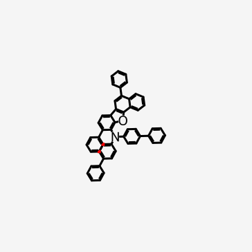 c1ccc(-c2ccc(N(c3ccc(-c4ccccc4)cc3)c3c(-c4ccccc4)ccc4c3oc3c5ccccc5c(-c5ccccc5)cc43)cc2)cc1